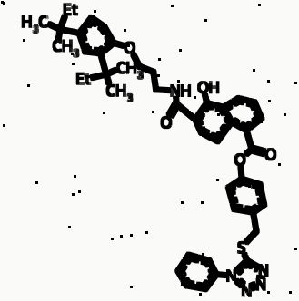 CCC(C)(C)c1ccc(OCCCNC(=O)c2ccc3c(C(=O)Oc4ccc(CSc5nnnn5-c5ccccc5)cc4)cccc3c2O)c(C(C)(C)CC)c1